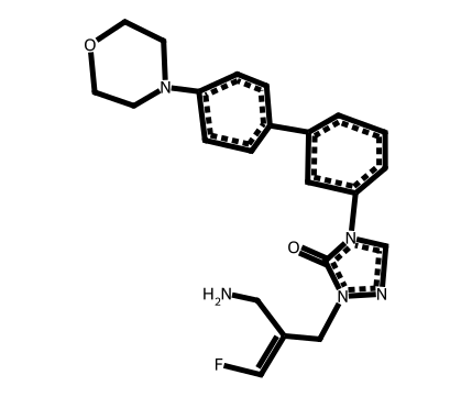 NC/C(=C\F)Cn1ncn(-c2cccc(-c3ccc(N4CCOCC4)cc3)c2)c1=O